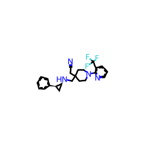 N#CCC1(CN[C@@H]2C[C@H]2c2ccccc2)CCN(c2ncccc2C(F)(F)F)CC1